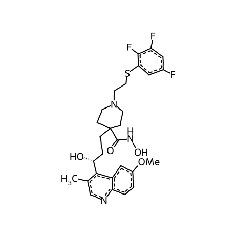 COc1ccc2ncc(C)c([C@H](O)CCC3(C(=O)NO)CCN(CCSc4cc(F)cc(F)c4F)CC3)c2c1